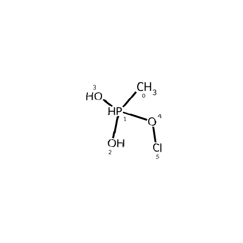 C[PH](O)(O)OCl